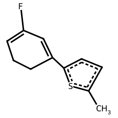 Cc1ccc(C2=CC(F)=CCC2)s1